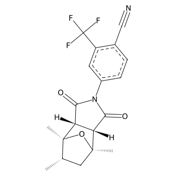 C[C@H]1C[C@@]2(C)O[C@]1(C)[C@@H]1C(=O)N(c3ccc(C#N)c(C(F)(F)F)c3)C(=O)[C@@H]12